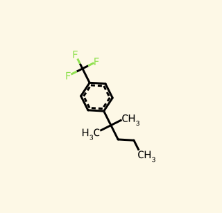 CCCC(C)(C)c1ccc(C(F)(F)F)cc1